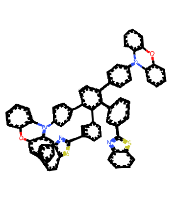 c1cc(-c2nc3ccccc3s2)cc(-c2c(-c3ccc(N4c5ccccc5Oc5ccccc54)cc3)ccc(-c3ccc(N4c5ccccc5Oc5ccccc54)cc3)c2-c2cccc(-c3nc4ccccc4s3)c2)c1